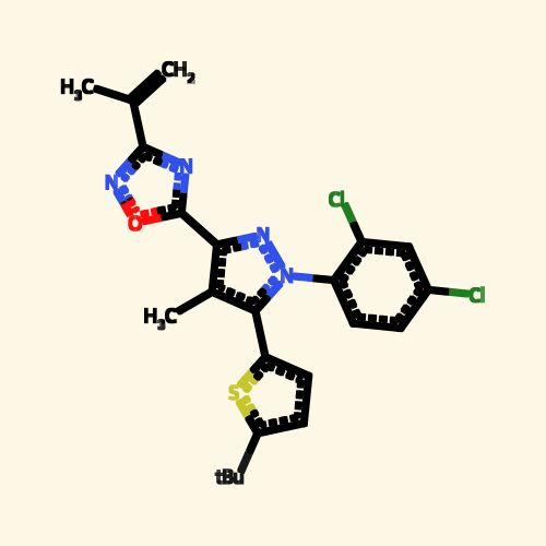 C=C(C)c1noc(-c2nn(-c3ccc(Cl)cc3Cl)c(-c3ccc(C(C)(C)C)s3)c2C)n1